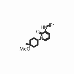 CO[C@]1(C)CC[C@@H](n2cccc(NC(C)C)c2=O)CC1